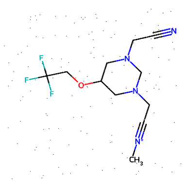 C[N+]#CCN1CC(OCC(F)(F)F)CN(CC#N)C1